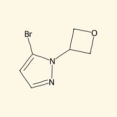 Brc1ccnn1C1COC1